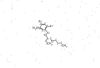 CCCCOC[C@H](CC)OCc1cc(C)c(F)cc1F